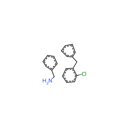 Clc1ccccc1Cc1ccccc1.NCc1ccccc1